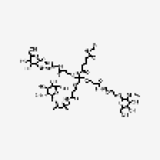 CC(=O)NC1C(OCCOCNC(=O)CCOCC(COCCC(=O)NCOCOC2OC(CO)C(O)C(O)C2NC(C)=O)(COCCC(=O)NCC(C)(C)CC(C)COC2OC(CO)C(O)C(O)C2NC(C)=O)NC(=O)CCCC(=O)NCC(C)C)OC(CO)C(O)C1O